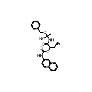 CC(C)CC(OC(=O)Nc1ccc2ccccc2c1)C(=O)NC(C)(C#N)OCc1ccccc1